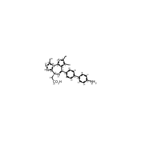 Cc1sc2c(c1C)C(c1ccc(-c3ccc(N)cc3)cc1)=N[C@@H](CC(=O)O)c1nnc(C)n1-2